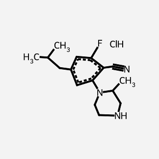 CC(C)Cc1cc(F)c(C#N)c(N2CCNCC2C)c1.Cl